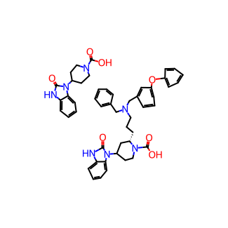 O=C(O)N1CCC(n2c(=O)[nH]c3ccccc32)CC1.O=C(O)N1CCC(n2c(=O)[nH]c3ccccc32)C[C@@H]1CCCN(Cc1ccccc1)Cc1cccc(Oc2ccccc2)c1